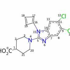 O=C(O)C1CCN(c2nc3cc(Cl)c(Cl)cc3n2C2=CC=C2)CC1